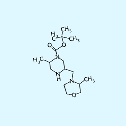 CC1COCCN1CC1CN(C(=O)OC(C)(C)C)C(C)CN1